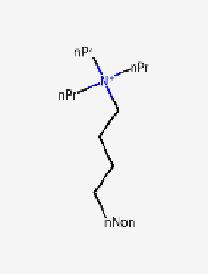 CCCCCCCCCCCCC[N+](CCC)(CCC)CCC